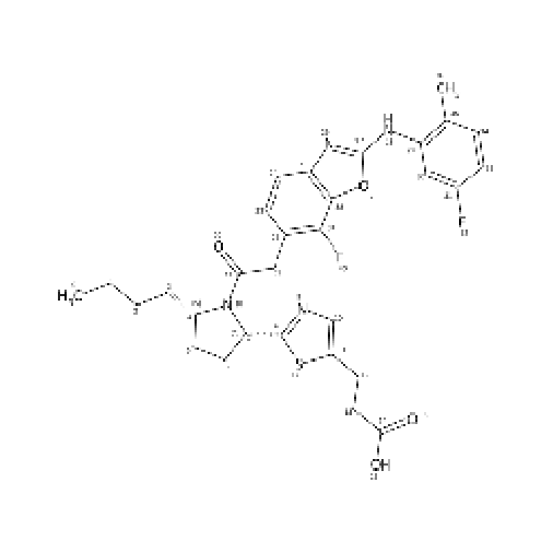 CCCC[C@H]1CC[C@@H](c2ncc(CCC(=O)O)s2)N1C(=O)Cc1ccc2nc(Nc3cc(F)ccc3C)oc2c1F